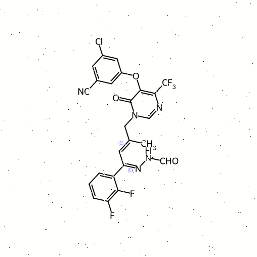 C/C(=C\C(=N/NC=O)c1cccc(F)c1F)Cn1cnc(C(F)(F)F)c(Oc2cc(Cl)cc(C#N)c2)c1=O